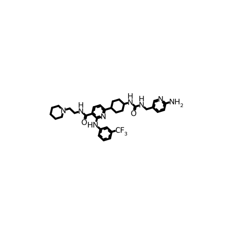 Nc1ccc(CNC(=O)NC2CCC(c3ccc(C(=O)NCCN4CCCCC4)c(Nc4cccc(C(F)(F)F)c4)n3)CC2)cn1